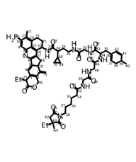 C=C1C2=C(C=C3c4nc5cc(P)c(C)c6c5c(c4CC13)C(NC(=O)C(CCNC(=O)CNC(=O)C(CC1=CCC(C)C=C1)NC(=O)CNC(=O)CNC(=O)CCCCCN1C(=O)CC(C)(CC)C1=O)C1CC1)CC6)C(CC)C(=O)OC2